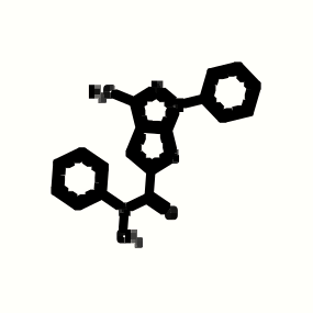 Cc1nn(-c2ccccc2)c2sc(C(=O)N(C)c3ccccc3)cc12